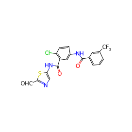 O=Cc1ncc(NC(=O)c2cc(NC(=O)c3cccc(C(F)(F)F)c3)ccc2Cl)s1